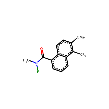 COc1ccc2c(C(=O)N(C)F)cccc2c1C(F)(F)F